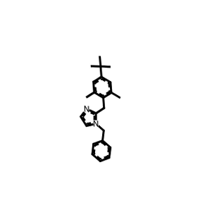 Cc1cc(C(C)(C)C)cc(C)c1Cc1nccn1Cc1ccccc1